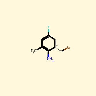 NC1=C(C(F)(F)F)C=C(F)C[C@@H]1CBr